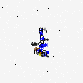 CCc1cc(Nc2ncc(Br)c(Nc3ccc4nccnc4c3P(C)(C)=S)n2)c(OC)cc1N1CCC(N2CCN(C)CC2)CC1